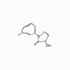 O=C1C(O)SCN1c1cccc(I)c1